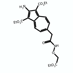 CCOC(=O)CONC(=O)Cc1ccc2c(C(=O)OCC)c(N)c(C(=O)OCC)c-2cc1